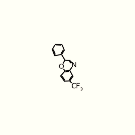 FC(F)(F)c1ccc2c(c1)N=CC(c1ccccc1)O2